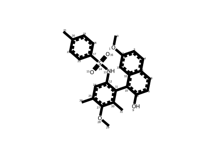 COc1ccc2ccc(O)c(-c3c(NS(=O)(=O)c4ccc(C)cc4)cc(C)c(OC)c3C)c2c1